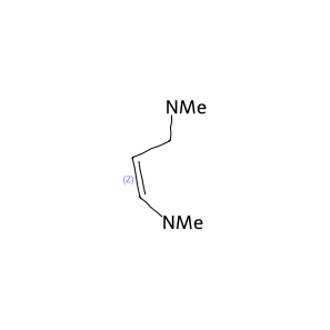 CN/C=C\CNC